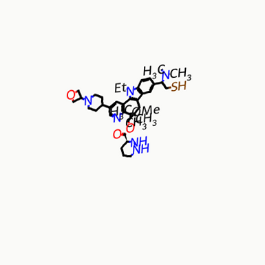 CCn1c(-c2cc(C3CCN(C4COC4)CC3)cnc2[C@H](C)OC)c(CC(C)(C)COC(=O)[C@@H]2CCCNN2)c2cc(C(CS)N(C)C)ccc21